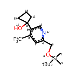 CC(C)(C)[Si](C)(C)OCc1cc(C(F)(F)F)c(C2(O)CCC2)cn1